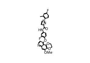 COc1cc2nccc(Oc3ccc(NC(=O)c4ccn(-c5ccc(F)cc5C)n4)cc3F)c2c2c1OCCO2